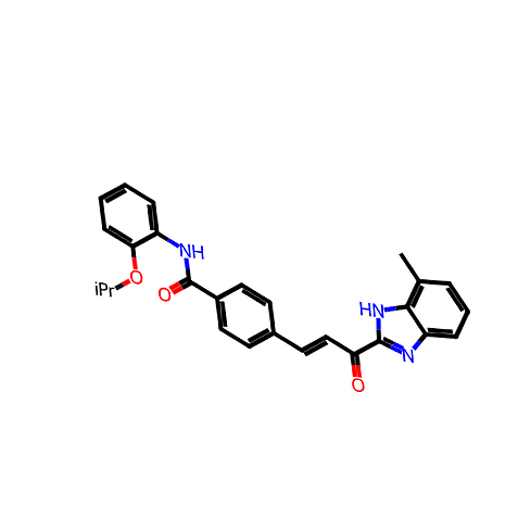 Cc1cccc2nc(C(=O)C=Cc3ccc(C(=O)Nc4ccccc4OC(C)C)cc3)[nH]c12